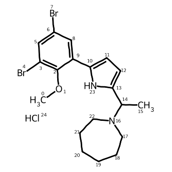 COc1c(Br)cc(Br)cc1-c1ccc(C(C)N2CCCCCC2)[nH]1.Cl